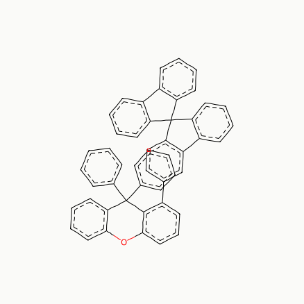 c1ccc(C2(c3ccccc3)c3ccccc3Oc3cccc(-c4ccc5c(c4)-c4ccccc4C54c5ccccc5-c5ccccc54)c32)cc1